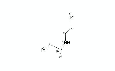 CC(C)CCN[C@H](C)CC(C)C